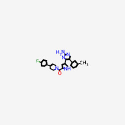 Cc1cccc(-c2cnc(N)nc2-c2c[nH]c(C(=O)N3CC=C(c4ccc(F)cc4)CC3)c2)c1